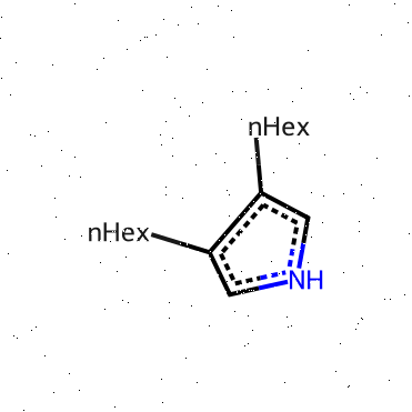 CCCCCCc1c[nH]cc1CCCCCC